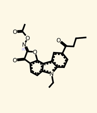 CCCC(=O)c1ccc2c(c1)c1c3c(ccc1n2CC)C(=O)/C(=N/OC(C)=O)O3